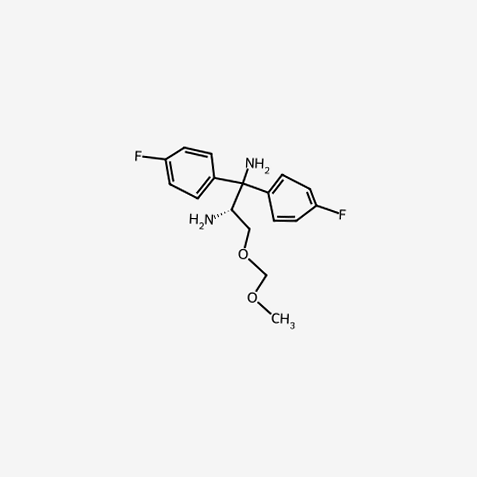 COCOC[C@H](N)C(N)(c1ccc(F)cc1)c1ccc(F)cc1